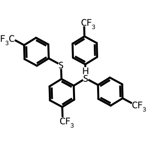 FC(F)(F)c1ccc(Sc2ccc(C(F)(F)F)cc2[SH](c2ccc(C(F)(F)F)cc2)c2ccc(C(F)(F)F)cc2)cc1